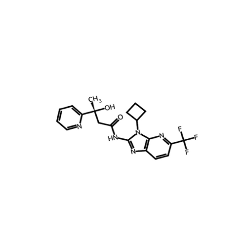 C[C@@](O)(CC(=O)Nc1nc2ccc(C(F)(F)F)nc2n1C1CCC1)c1ccccn1